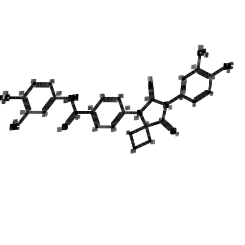 [C-]#[N+]c1ccc(N2C(=O)C3(CCC3)N(c3ccc(C(=O)Nc4ccc(C(F)(F)F)c(C#N)c4)cc3)C2=S)cc1C(F)(F)F